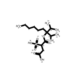 CCCCCCC(OC(=O)C(CC(=O)O)S(=O)(=O)O)(C(C)C)C(C)C